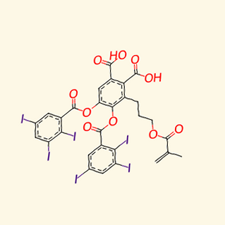 C=C(C)C(=O)OCCCc1c(OC(=O)c2cc(I)cc(I)c2I)c(OC(=O)c2cc(I)cc(I)c2I)cc(C(=O)O)c1C(=O)O